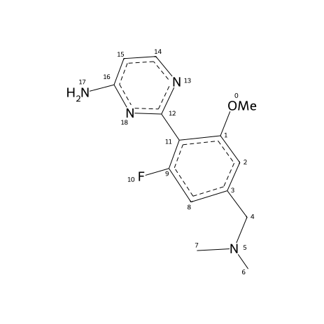 COc1cc(CN(C)C)cc(F)c1-c1nccc(N)n1